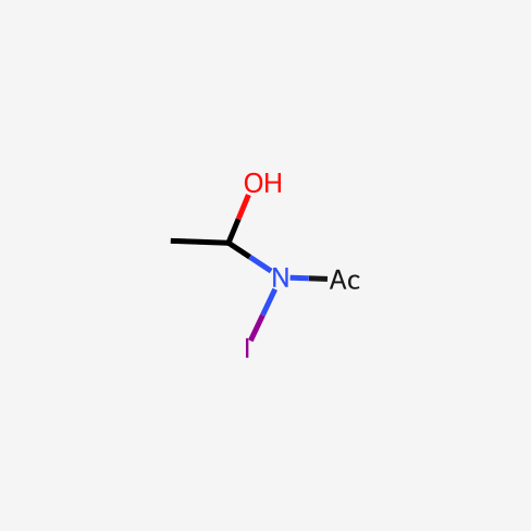 CC(=O)N(I)C(C)O